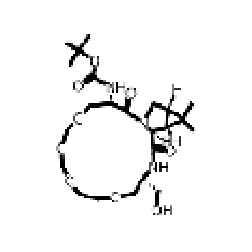 CC(C)(C)OC(=O)N[C@H]1CCCCCCCCCC[C@@H](CO)NC(=O)[C@@H]2[C@@H]3[C@H](CN2C1=O)C3(C)C